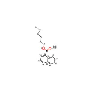 CCCCCCOC(=O)c1cccc2ccccc12.[Ni]